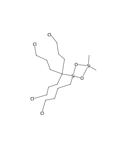 C[Si]1(C)O[Si](CCCCCl)(C(CCCCl)(CCCCl)CCCCl)O1